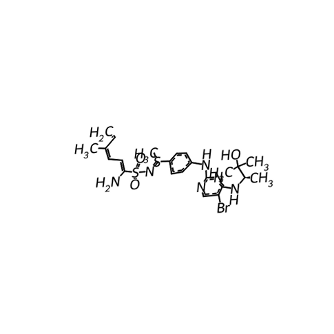 C=C/C(C)=C\C=C(/N)S(=O)(=O)N=S(C)c1ccc(Nc2ncc(Br)c(N[C@H](C)C(C)(C)O)n2)cc1